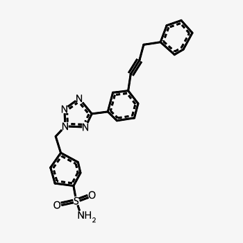 NS(=O)(=O)c1ccc(Cn2nnc(-c3cccc(C#CCc4ccccc4)c3)n2)cc1